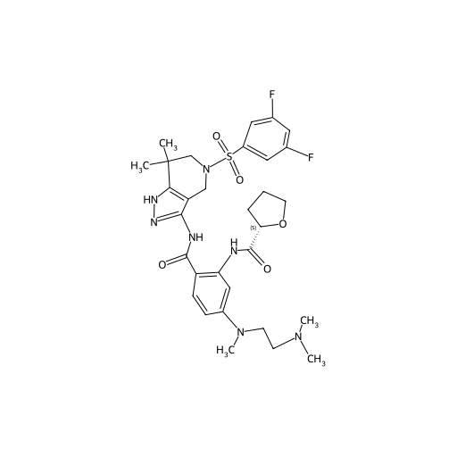 CN(C)CCN(C)c1ccc(C(=O)Nc2n[nH]c3c2CN(S(=O)(=O)c2cc(F)cc(F)c2)CC3(C)C)c(NC(=O)[C@@H]2CCCO2)c1